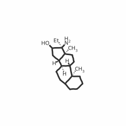 CC[C@@]1(N)C(O)C[C@H]2[C@@H]3CCC4CCCC[C@]4(C)[C@H]3CC[C@@]21C